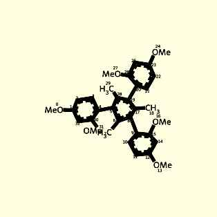 COc1ccc(-c2c(C)c(-c3ccc(OC)cc3OC)c(C)c(-c3ccc(OC)cc3OC)c2C)c(OC)c1